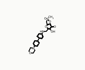 CS(=O)(=O)Cc1cc(=O)c(O)c(CNc2ccc(-c3ccc(N4CCOCC4)cc3)cc2)o1